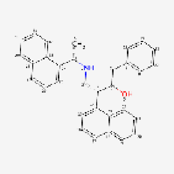 C[C@H](NC[C@H]([C](O)Cc1ccccc1)c1cccc2ccccc12)c1cccc2ccccc12